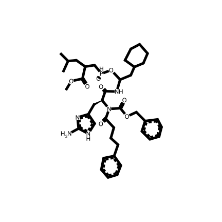 COC(=O)C(CC(C)C)C[PH](=O)OC(CC1CCCCC1)NC(=O)[C@H](Cc1c[nH]c(N)n1)N(C(=O)CCCc1ccccc1)C(=O)OCc1ccccc1